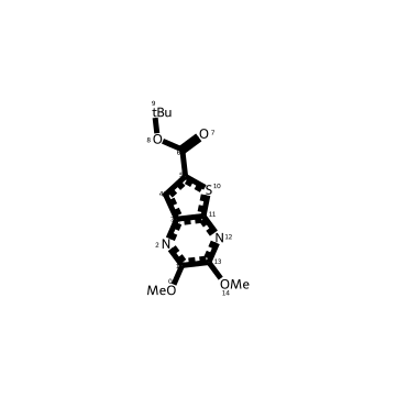 COc1nc2cc(C(=O)OC(C)(C)C)sc2nc1OC